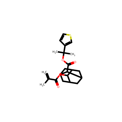 C=C(C)C(=O)OC1C2CC3CC1CC(C2)C3C(=O)OC(C)(C)c1ccsc1